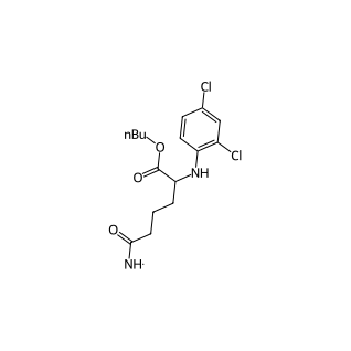 CCCCOC(=O)C(CCCC([NH])=O)Nc1ccc(Cl)cc1Cl